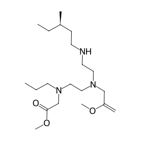 C=C(CN(CCNCC[C@H](C)CC)CCN(CCC)CC(=O)OC)OC